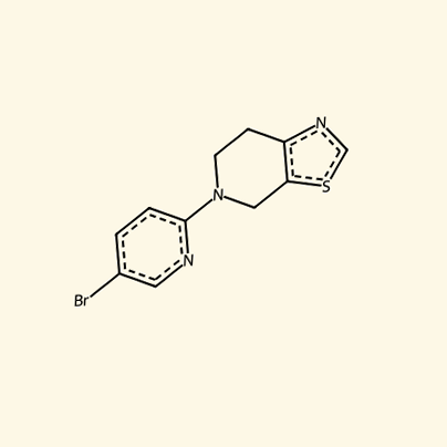 Brc1ccc(N2CCc3ncsc3C2)nc1